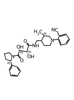 C[C@H]1CN(c2ccccc2C#N)CCC1CNC(=O)[C@H](O)[C@@H](O)C(=O)N1CCC[C@@H]1c1ccccc1